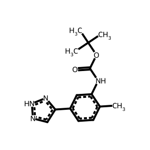 Cc1ccc(-c2cn[nH]n2)cc1NC(=O)OC(C)(C)C